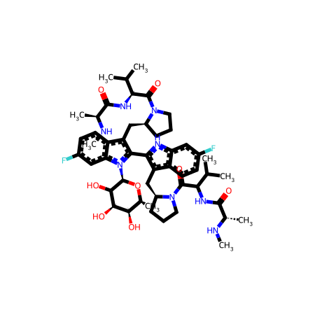 CN[C@@H](C)C(=O)NC(C(=O)N1CCC[C@H]1Cc1c(-c2c(C[C@@H]3CCCN3C(=O)[C@@H](NC(=O)[C@H](C)NC)C(C)C)c3ccc(F)cc3n2[C@H]2O[C@@H](C)[C@@H](O)[C@@H](O)C2O)[nH]c2cc(F)ccc12)C(C)C